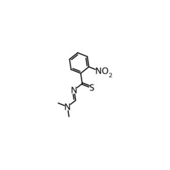 CN(C)C=NC(=S)c1ccccc1[N+](=O)[O-]